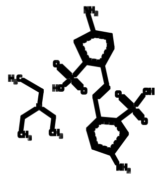 CCN(CC)CC.Nc1ccc(C=Cc2ccc(N)cc2S(=O)(=O)O)c(S(=O)(=O)O)c1